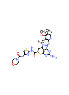 COc1c(C)cnc(Cn2nc3c4c(nc(N)nc42)SC(C(=O)Nc2nc(CC(=O)N4CCOCC4)cs2)C3)c1C